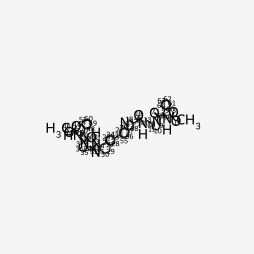 COC(=O)N[C@@H](C(=O)N1CCC[C@H]1CNC(=O)c1cnc2cc(-c3ccc4c(c3)CCc3nc([C@@H]5CCCN5C(=O)[C@H](NC(=O)OC)c5ccccc5)[nH]c3-4)ccc2c1)c1ccccc1